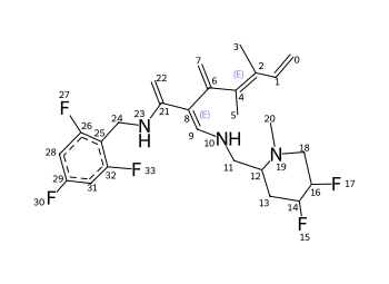 C=C/C(C)=C(\C)C(=C)/C(=C\NCC1CC(F)C(F)CN1C)C(=C)NCc1c(F)cc(F)cc1F